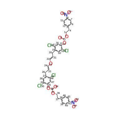 O=C(OCCc1ccc([N+](=O)[O-])cc1)Oc1cc(Cl)c(CC=COC=CCc2cc(Cl)c(OC(=O)OCCc3ccc([N+](=O)[O-])cc3)cc2Cl)cc1Cl